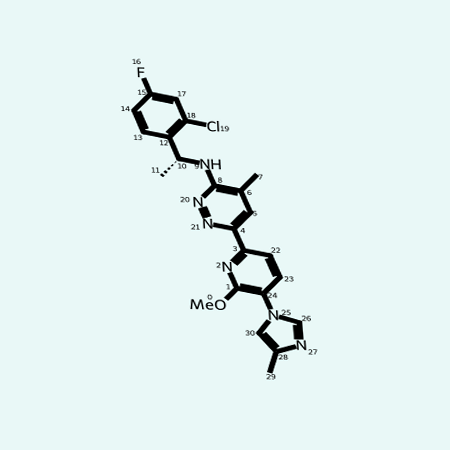 COc1nc(-c2cc(C)c(N[C@H](C)c3ccc(F)cc3Cl)nn2)ccc1-n1cnc(C)c1